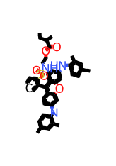 CCC(C)C(=O)OCCNS(=O)(=O)c1ccccc1-c1c2cc/c(=N\c3ccc(C)cc3C)cc-2oc2cc(Nc3ccc(C)cc3C)ccc12